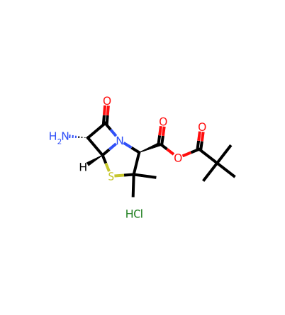 CC(C)(C)C(=O)OC(=O)[C@@H]1N2C(=O)[C@@H](N)[C@H]2SC1(C)C.Cl